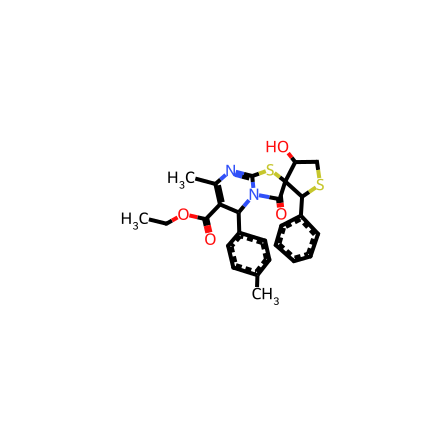 CCOC(=O)C1=C(C)N=C2SC3(C(=O)N2C1c1ccc(C)cc1)C(O)CSC3c1ccccc1